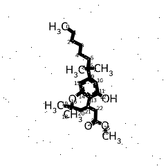 CCCCCCC(C)(C)c1cc(O)c2c(c1)OC(C)(C)CC2CC(=O)OC